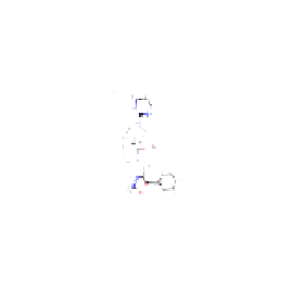 COc1ccnc(N2CCC3(CC2)NCCN(Cc2nc(C)oc2-c2ccccc2)C3=O)n1